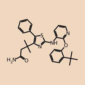 CC(C)(C)c1ccccc1Oc1ncccc1Nc1nc(C(C)(C)CC(N)=O)c(-c2ccccc2)s1